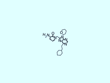 Nc1cccn(Cc2nc3c(CCC4CCCCC4)ncnc3n2C2CCCCO2)c1=O